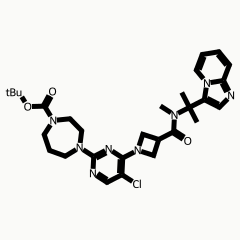 CN(C(=O)C1CN(c2nc(N3CCCN(C(=O)OC(C)(C)C)CC3)ncc2Cl)C1)C(C)(C)c1cnc2ccccn12